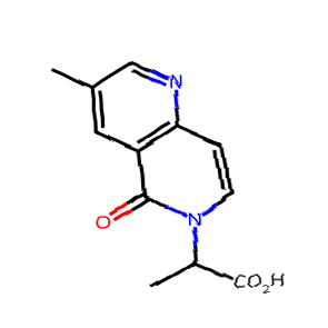 Cc1cnc2ccn(C(C)C(=O)O)c(=O)c2c1